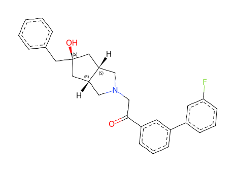 O=C(CN1C[C@@H]2C[C@](O)(Cc3ccccc3)C[C@@H]2C1)c1cccc(-c2cccc(F)c2)c1